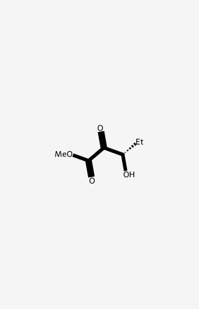 CC[C@H](O)C(=O)C(=O)OC